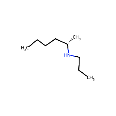 CCCC[C@H](C)NCCC